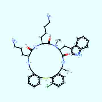 C[C@@H]1NC(=O)[C@H](Cc2c[nH]c3ccccc23)N(C)C(=O)[C@H](CCCCN)NC(=O)C(CCCN)NCc2ccccc2Sc2c(Cl)cccc21